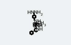 C[C@H](NC(=O)[C@H]1C[C@@H](c2ccccc2)CCN1)C(=O)NCc1ccc(C(=N)N)cc1.Cl.Cl